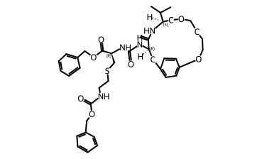 C=C1N[C@@H](C(C)C)COCCCCOc2ccc(cc2)C[C@H]1NC(=O)N[C@@H](CSCCNC(=O)OCc1ccccc1)C(=O)OCc1ccccc1